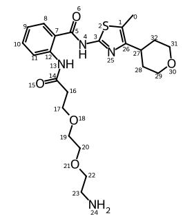 Cc1sc(NC(=O)c2ccccc2NC(=O)CCOCCOCCN)nc1C1CCOCC1